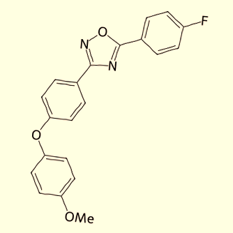 COc1ccc(Oc2ccc(-c3noc(-c4ccc(F)cc4)n3)cc2)cc1